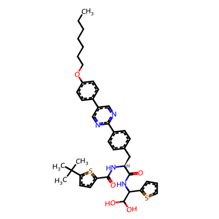 CCCCCCCOc1ccc(-c2cnc(-c3ccc(C[C@H](NC(=O)c4ccc(C(C)(C)C)s4)C(=O)NC(c4cccs4)C(O)O)cc3)nc2)cc1